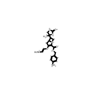 CC(=O)NC=CSC1=C(C(=O)OCc2ccc([N+](=O)[O-])cc2)N2CC(C3(C)COC(=O)O3)C2C1